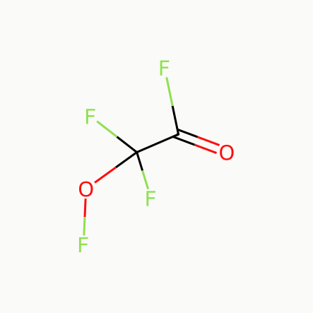 O=C(F)C(F)(F)OF